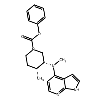 C[C@@H]1CCN(C(=O)Oc2ccccc2)C[C@@H]1N(C)c1ccnc2[nH]ccc12